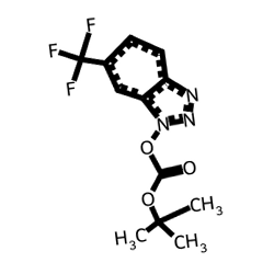 CC(C)(C)OC(=O)On1nnc2ccc(C(F)(F)F)cc21